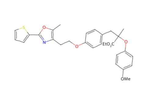 CCOC(=O)C(C)(Cc1ccc(OCCc2nc(-c3cccs3)oc2C)cc1)Oc1ccc(OC)cc1